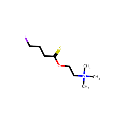 C[N+](C)(C)CCOC(=S)CCCI